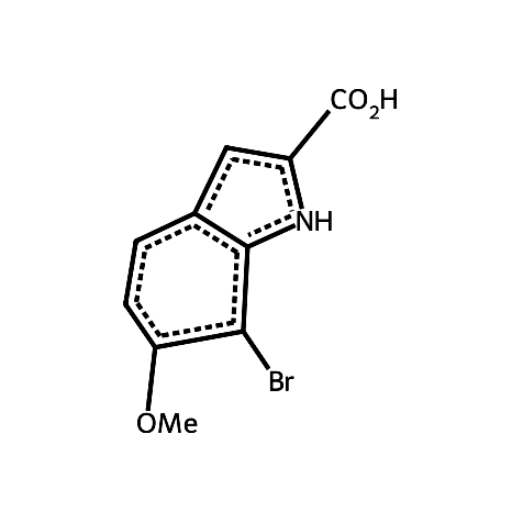 COc1ccc2cc(C(=O)O)[nH]c2c1Br